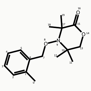 Cc1ccccc1CON1C(C)(C)COC(=O)C1(C)C